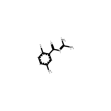 NC(N)=NC(=O)c1cc(C(F)(F)F)ccc1F